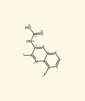 Cc1nc2c(F)cccc2cc1NC(=O)O